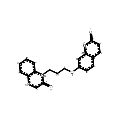 O=c1ccc2ccc(OCCCn3c(=O)cnc4ccccc43)cc2o1